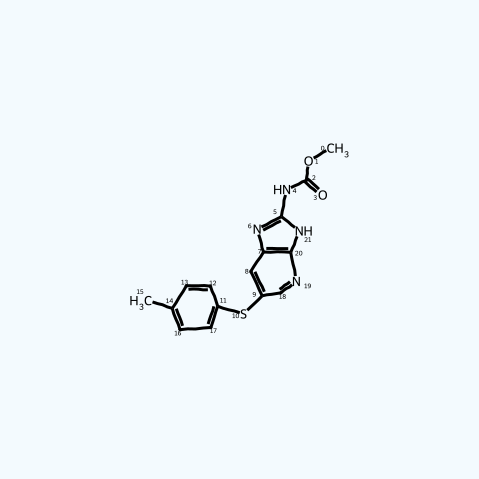 COC(=O)Nc1nc2cc(Sc3ccc(C)cc3)cnc2[nH]1